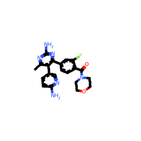 Cc1nc(N)nc(-c2ccc(C(=O)N3CCOCC3)c(F)c2)c1-c1ccc(N)nc1